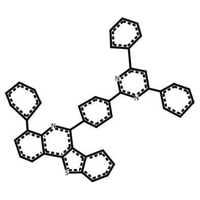 c1ccc(-c2cc(-c3ccccc3)nc(-c3ccc(-c4nc5c(-c6ccccc6)cccc5c5sc6ccccc6c45)cc3)n2)cc1